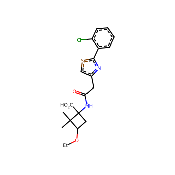 CCOC1CC(NC(=O)Cc2csc(-c3ccccc3Cl)n2)(C(=O)O)C1(C)C